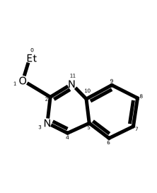 CCOc1ncc2ccccc2n1